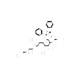 CC(=O)NCCOC[C@@H](C)C1O[C@@H](OP(=O)(Oc2ccccc2)Oc2ccccc2)C(OC(C)=O)[C@@H](C)[C@@H]1C